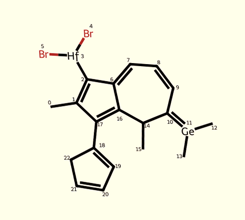 CC1=[C]([Hf]([Br])[Br])C2=CC=C[C](=[Ge]([CH3])[CH3])C(C)C2=C1C1=CC=CC1